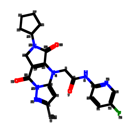 CC(C)(C)c1cc2n(CC(=O)Nc3ccc(F)cn3)c3c(c(=O)n2n1)CN(C1CCCC1)C3=O